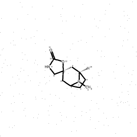 CN1C2CC[C@@H]1C[C@@]1(CNC(=O)O1)C2